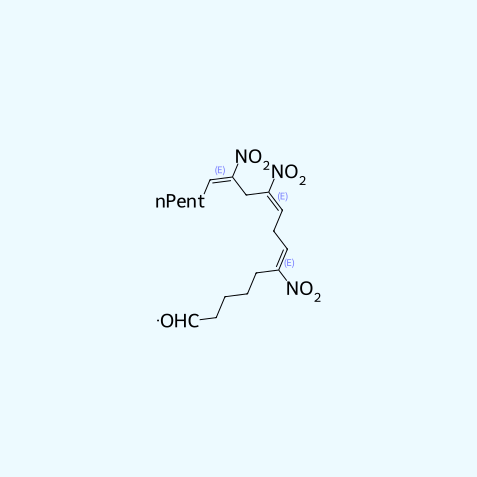 CCCCC/C=C(\C/C(=C\C/C=C(\CCCC[C]=O)[N+](=O)[O-])[N+](=O)[O-])[N+](=O)[O-]